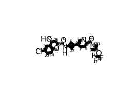 O=C(NC12CC(c3ccc(C(=O)N4CC(OC(F)(F)F)C4)nc3)(C1)C2)[C@H]1C[C@@H](O)c2cc(Cl)ccc2O1